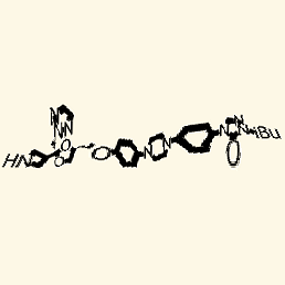 CCC(C)n1ncn(-c2ccc(N3CCN(c4ccc(OC[C@@H]5CO[C@@](Cn6nccn6)(C6CNC6)O5)cc4)CC3)cc2)c1=O